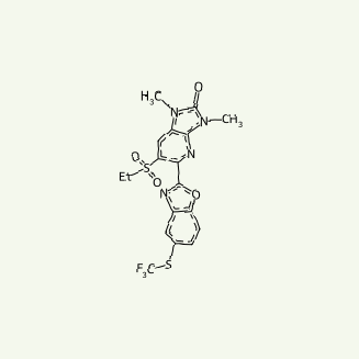 CCS(=O)(=O)c1cc2c(nc1-c1nc3cc(SC(F)(F)F)ccc3o1)n(C)c(=O)n2C